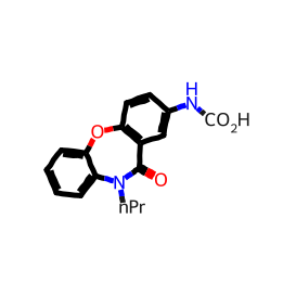 CCCN1C(=O)c2cc(NC(=O)O)ccc2Oc2ccccc21